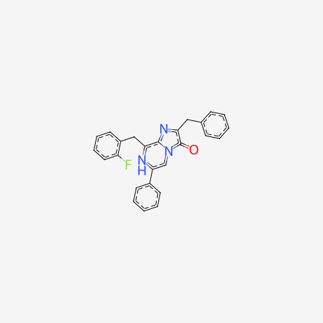 O=c1c(Cc2ccccc2)nc2c(Cc3ccccc3F)[nH]c(-c3ccccc3)cn1-2